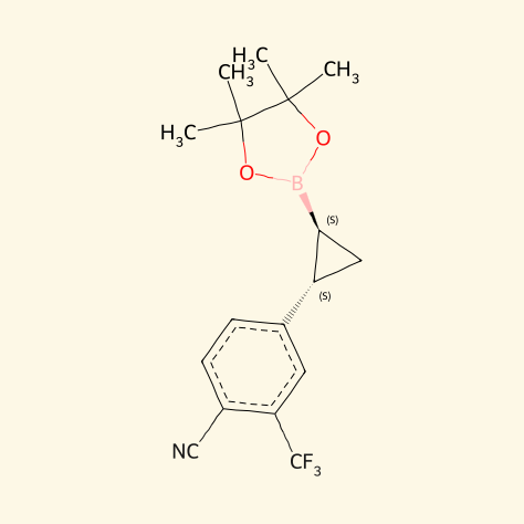 CC1(C)OB([C@H]2C[C@@H]2c2ccc(C#N)c(C(F)(F)F)c2)OC1(C)C